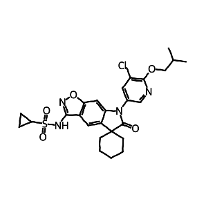 CC(C)COc1ncc(N2C(=O)C3(CCCCC3)c3cc4c(NS(=O)(=O)C5CC5)noc4cc32)cc1Cl